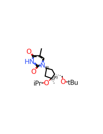 Cc1cn([C@@H]2C[C@H](COC(C)(C)C)[C@@](C)(OC(C)C)C2)c(=O)[nH]c1=O